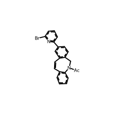 CC(=O)N1Cc2ccc(-c3cccc(Br)n3)cc2C=Cc2ccccc21